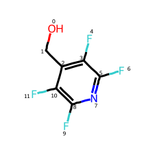 OCc1c(F)c(F)nc(F)c1F